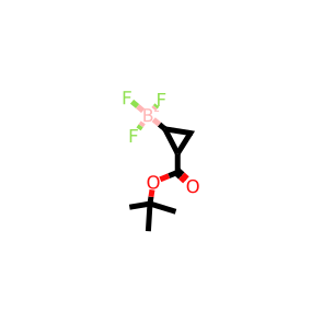 CC(C)(C)OC(=O)C1CC1[B-](F)(F)F